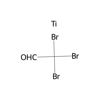 O=CC(Br)(Br)Br.[Ti]